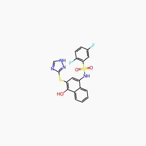 O=S(=O)(Nc1cc(Sc2nc[nH]n2)c(O)c2ccccc12)c1cc(F)ccc1F